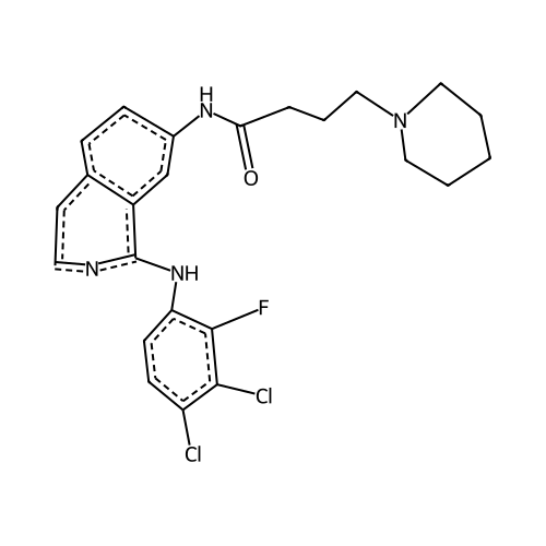 O=C(CCCN1CCCCC1)Nc1ccc2ccnc(Nc3ccc(Cl)c(Cl)c3F)c2c1